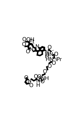 CC[C@@]1(O)C(=O)OCc2c1cc1n(c2=O)Cc2c-1nc1ccc(NC(=O)[C@H](C)NC(=O)[C@@H](NC(=O)COCCOCCNS(=O)(=O)NC(=O)CCN3C(=O)C=CC3=O)C(C)C)c3c1c2CCC3